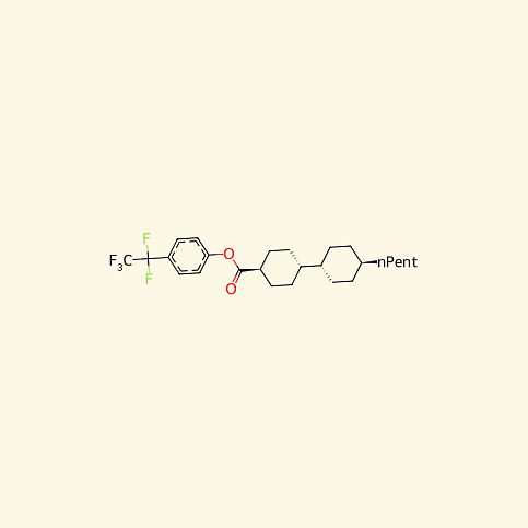 CCCCC[C@H]1CC[C@H]([C@H]2CC[C@H](C(=O)Oc3ccc(C(F)(F)C(F)(F)F)cc3)CC2)CC1